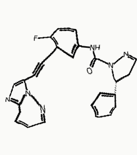 O=C(Nc1ccc(F)c(C#Cc2cnc3cccnn23)c1)N1N=CC[C@@H]1c1ccccc1